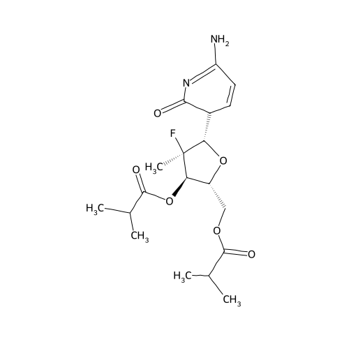 CC(C)C(=O)OC[C@H]1O[C@@H](C2C=CC(N)=NC2=O)[C@](C)(F)[C@@H]1OC(=O)C(C)C